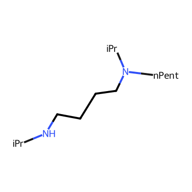 CCCCCN(CCCCNC(C)C)C(C)C